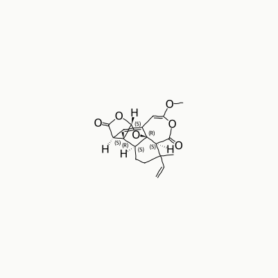 C=CC1(C)CC[C@@H]2[C@]34O[C@H]5OC(=O)[C@@H](C=C3C=C(OC)OC(=O)[C@@H]14)[C@]52C